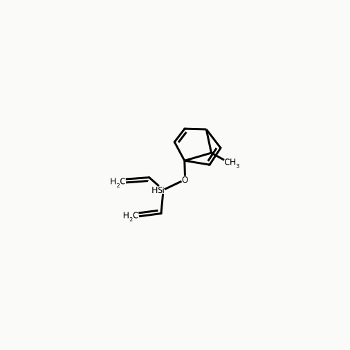 C=C[SiH](C=C)OC12C=CC(C=C1)C2C